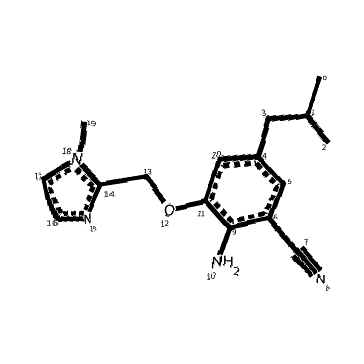 CC(C)Cc1cc(C#N)c(N)c(OCc2nccn2C)c1